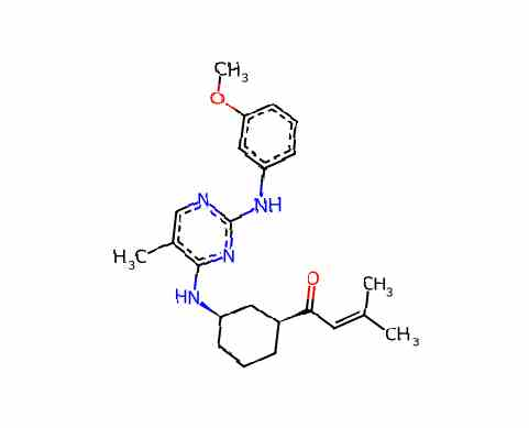 COc1cccc(Nc2ncc(C)c(N[C@@H]3CCC[C@H](C(=O)C=C(C)C)C3)n2)c1